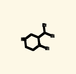 [CH2]CN1CCNCC1C(CC)CC